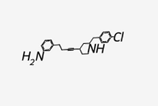 Nc1cccc(CCC#CC2CCNC(Cc3ccc(Cl)cc3)C2)c1